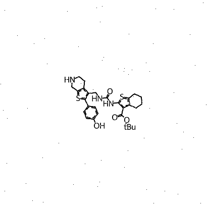 CC(C)(C)OC(=O)c1c(NC(=O)NCc2c(-c3ccc(O)cc3)sc3c2CCNC3)sc2c1CCCC2